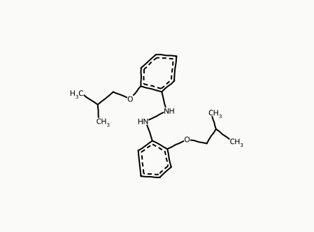 CC(C)COc1ccccc1NNc1ccccc1OCC(C)C